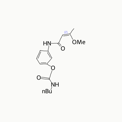 CCCCNC(=O)Oc1cccc(NC(=O)/C=C(/C)OC)c1